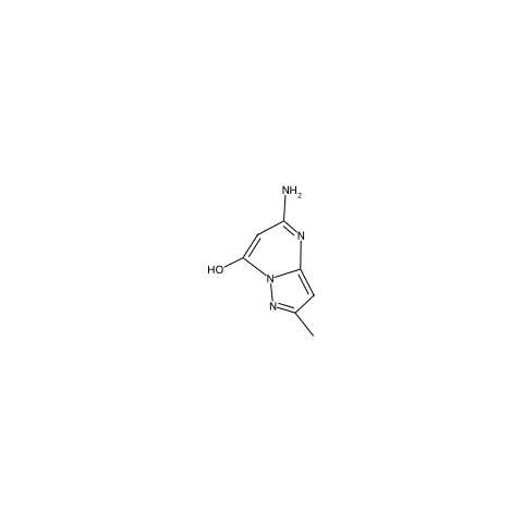 Cc1cc2nc(N)cc(O)n2n1